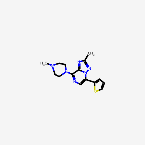 Cc1nc2c(N3CCN(C)CC3)ncc(-c3cccs3)n2n1